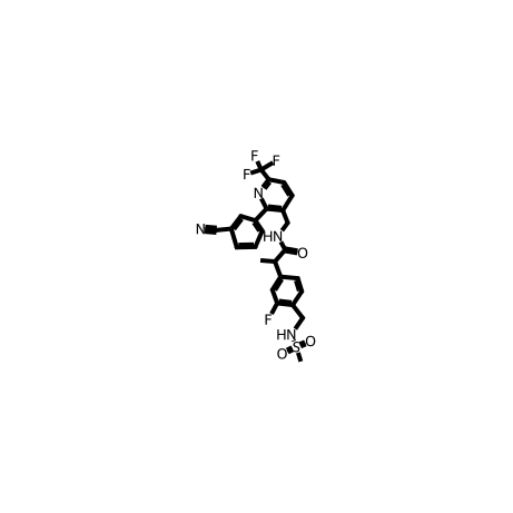 CC(C(=O)NCc1ccc(C(F)(F)F)nc1-c1cccc(C#N)c1)c1ccc(CNS(C)(=O)=O)c(F)c1